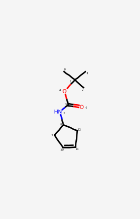 CC(C)(C)OC(=O)NC1CC=CC1